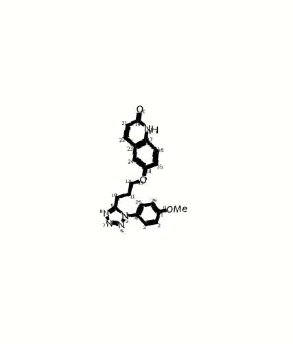 COc1ccc(-n2nnnc2CCCOc2ccc3[nH]c(=O)ccc3c2)cc1